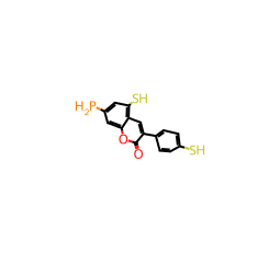 O=c1oc2cc(P)cc(S)c2cc1-c1ccc(S)cc1